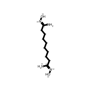 N/C(CCCCCCCC/C(N)=N/O)=N\O